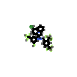 Fc1cc(C(F)(F)F)cc(C(Cc2ccccc2)(NCc2ccc(C(F)(F)F)cc2C(F)(F)F)c2ccc(Cl)cn2)c1